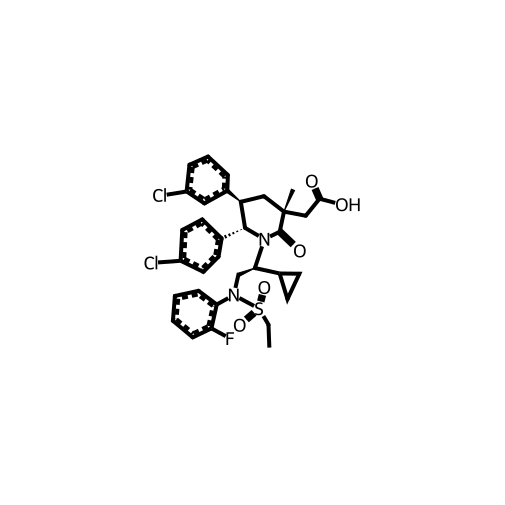 CCS(=O)(=O)N(C[C@H](C1CC1)N1C(=O)[C@@](C)(CC(=O)O)C[C@H](c2cccc(Cl)c2)[C@H]1c1ccc(Cl)cc1)c1ccccc1F